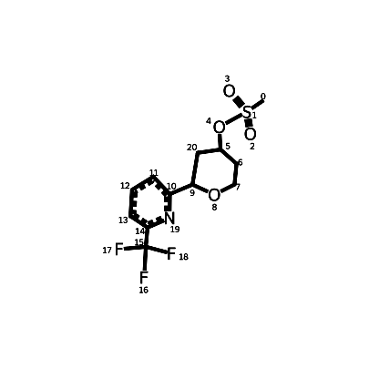 CS(=O)(=O)OC1CCOC(c2cccc(C(F)(F)F)n2)C1